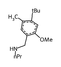 CCCNCc1cc(C)c(C(C)(C)C)cc1OC